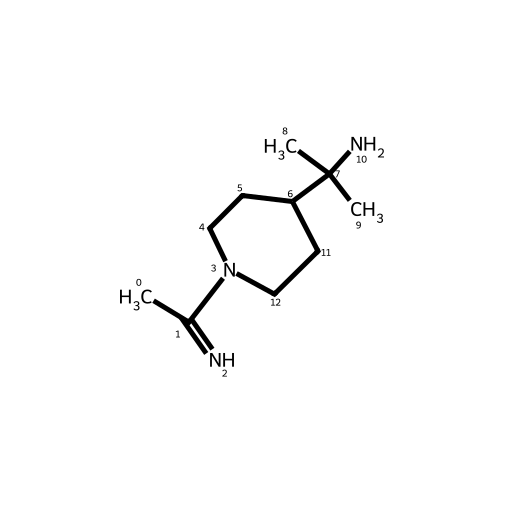 CC(=N)N1CCC(C(C)(C)N)CC1